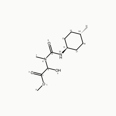 COC(=O)C(O)N(C)C(=O)N[C@H]1CC[C@H](C)CC1